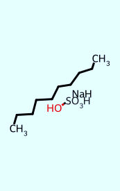 CCCCCCCCCC.O=S(=O)(O)O.[NaH]